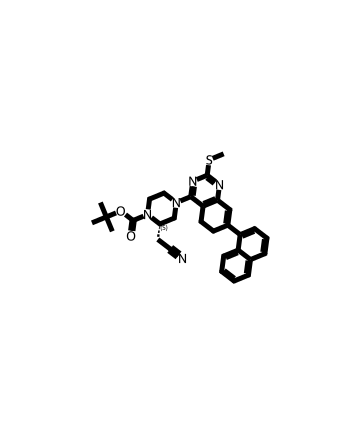 CSc1nc2c(c(N3CCN(C(=O)OC(C)(C)C)[C@@H](CC#N)C3)n1)CCC(c1cccc3ccccc13)=C2